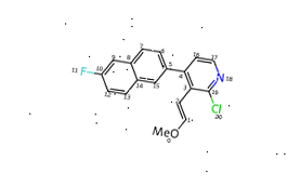 CO/C=C/c1c(-c2ccc3cc(F)ccc3c2)ccnc1Cl